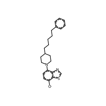 [O]c1ccc(N2CCC(CCCCCc3ccccc3)CC2)c2ncsc12